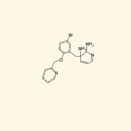 NC1N=CC=CC1(N)Cc1cc(Br)ccc1OCc1ccccn1